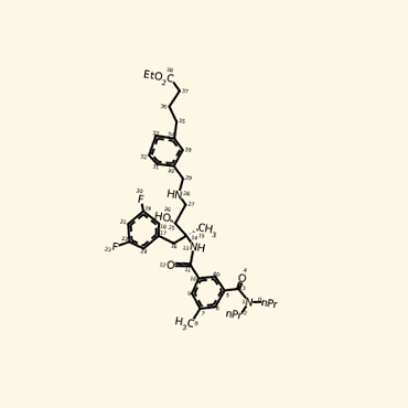 CCCN(CCC)C(=O)c1cc(C)cc(C(=O)N[C@@](C)(Cc2cc(F)cc(F)c2)[C@H](O)CNCc2cccc(CCCC(=O)OCC)c2)c1